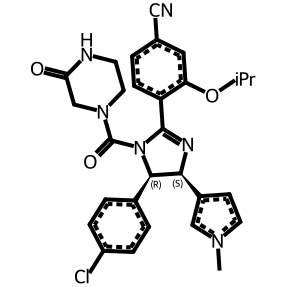 CC(C)Oc1cc(C#N)ccc1C1=N[C@@H](c2ccn(C)c2)[C@@H](c2ccc(Cl)cc2)N1C(=O)N1CCNC(=O)C1